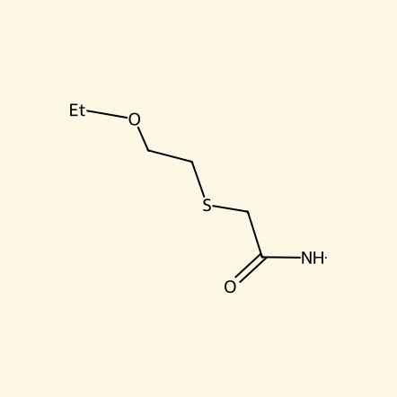 CCOCCSCC([NH])=O